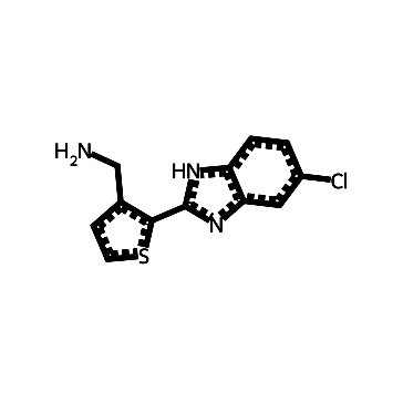 NCc1ccsc1-c1nc2cc(Cl)ccc2[nH]1